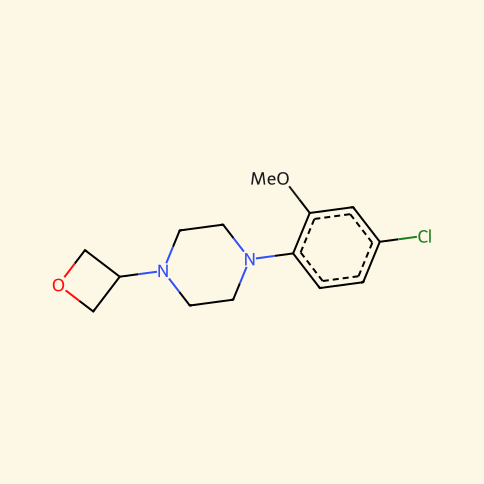 COc1cc(Cl)ccc1N1CCN(C2COC2)CC1